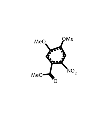 COC(=O)c1cc(OC)c(OC)cc1[N+](=O)[O-]